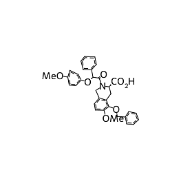 COc1ccc(O[C@H](C(=O)N2Cc3ccc(OC)c(OCc4ccccc4)c3C[C@@H]2C(=O)O)c2ccccc2)cc1